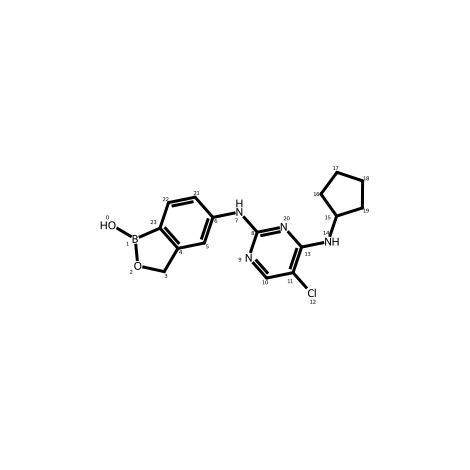 OB1OCc2cc(Nc3ncc(Cl)c(NC4CCCC4)n3)ccc21